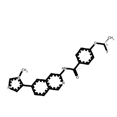 C[C@H](F)Oc1ccc(C(=O)Nc2cc3cc(-c4cncn4C)ccc3cn2)cc1